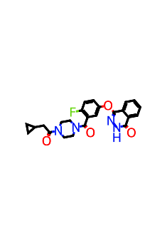 O=C(CC1CC1)N1CCN(C(=O)c2cc(Oc3n[nH]c(=O)c4ccccc34)ccc2F)CC1